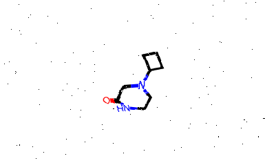 O=C1CN(C2CCC2)CCN1